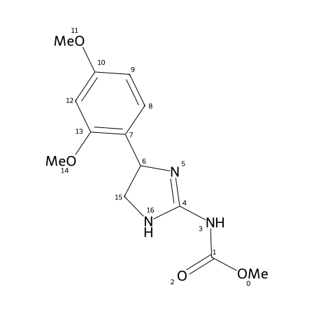 COC(=O)NC1=NC(c2ccc(OC)cc2OC)CN1